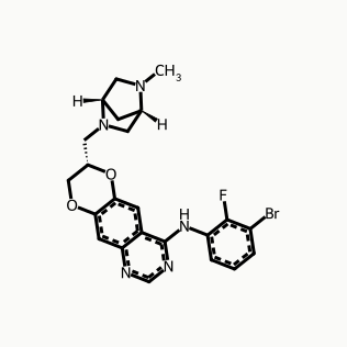 CN1C[C@@H]2C[C@H]1CN2C[C@H]1COc2cc3ncnc(Nc4cccc(Br)c4F)c3cc2O1